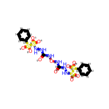 O=C(NNS(=O)(=O)S(=O)(=O)c1ccccc1)NONC(=O)NNS(=O)(=O)S(=O)(=O)c1ccccc1